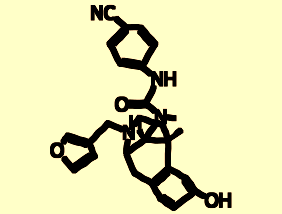 CN(C(=O)Nc1ccc(C#N)cc1)[C@H]1C2Cc3ccc(O)cc3[C@@]1(C)CCN2Cc1ccoc1